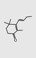 C[CH]C=CC1=C(C)C(=O)CCC1(C)C